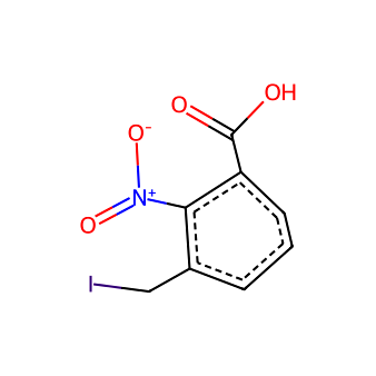 O=C(O)c1cccc(CI)c1[N+](=O)[O-]